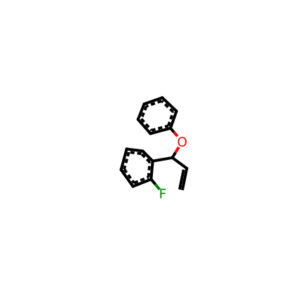 C=CC(Oc1ccccc1)c1ccccc1F